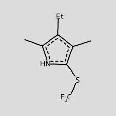 CCc1c(C)[nH]c(SC(F)(F)F)c1C